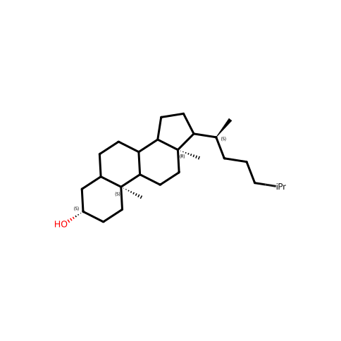 CC(C)CCC[C@H](C)C1CCC2C3CCC4C[C@@H](O)CC[C@]4(C)C3CC[C@@]21C